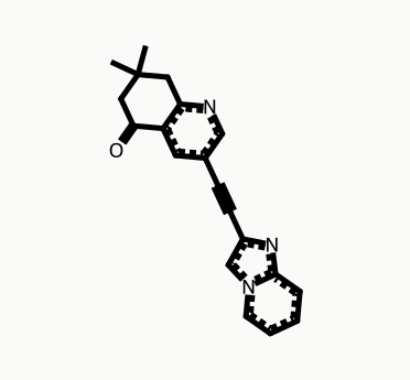 CC1(C)CC(=O)c2cc(C#Cc3cn4ccccc4n3)cnc2C1